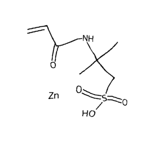 C=CC(=O)NC(C)(C)CS(=O)(=O)O.[Zn]